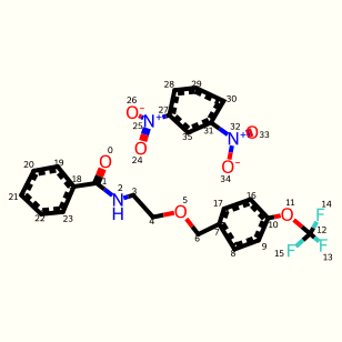 O=C(NCCOCc1ccc(OC(F)(F)F)cc1)c1ccccc1.O=[N+]([O-])c1cccc([N+](=O)[O-])c1